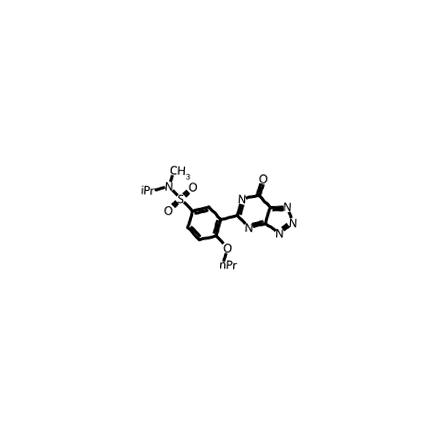 CCCOc1ccc(S(=O)(=O)N(C)C(C)C)cc1C1=NC(=O)C2=NN=NC2=N1